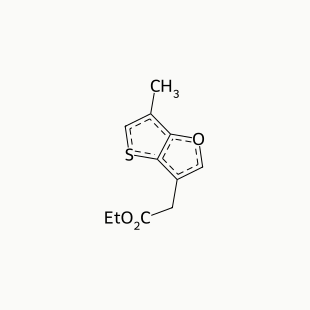 CCOC(=O)Cc1coc2c(C)csc12